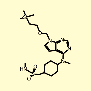 CNS(=O)(=O)CC1CCC(N(C)c2ncnc3c2ccn3COCC[Si](C)(C)C)CC1